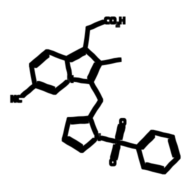 Cc1c(CC(=O)O)c2ccc(C#N)cn2c1Cc1cccn1S(=O)(=O)c1ccccc1